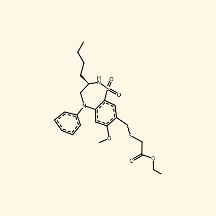 CCCC[C@@H]1CN(c2ccccc2)c2cc(OC)c(CSCC(=O)OCC)cc2S(=O)(=O)N1